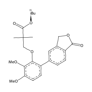 CC[C@H](C)OC(=O)C(C)(C)COc1c(-c2ccc3c(c2)COC3=O)ccc(OC)c1OC